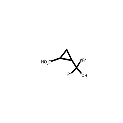 CCCC(O)(C(C)C)C1CC1C(=O)O